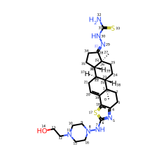 C[C@]12CCc3nc(NN4CCN(CCO)CC4)sc3C1=CC[C@@H]1[C@@H]2CC[C@]2(C)/C(=N/NC(N)=S)CC[C@@H]12